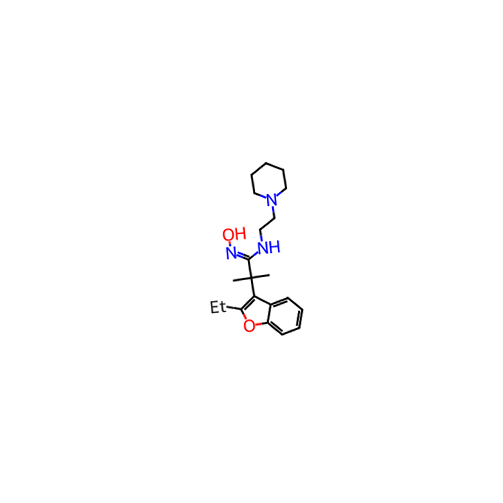 CCc1oc2ccccc2c1C(C)(C)C(=NO)NCCN1CCCCC1